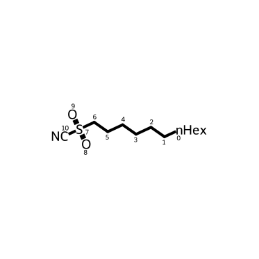 CCCCCCCCCCCCS(=O)(=O)C#N